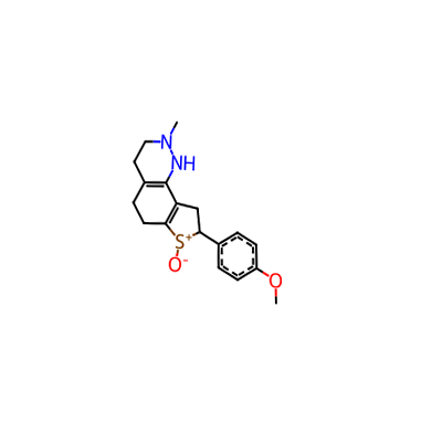 COc1ccc(C2CC3=C(CCC4=C3NN(C)CC4)[S+]2[O-])cc1